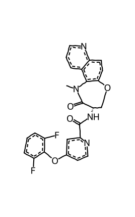 CN1C(=O)[C@@H](NC(=O)c2cc(Oc3c(F)cccc3F)ccn2)COc2ccc3ncccc3c21